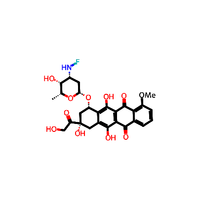 COc1cccc2c1C(=O)c1c(O)c3c(c(O)c1C2=O)C[C@@](O)(C(=O)CO)C[C@@H]3O[C@H]1C[C@@H](NF)[C@@H](O)[C@@H](C)O1